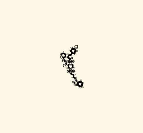 O=C(NOC1CCCCO1)[C@H]1CN(S(=O)(=O)CCCSn2cnc3ccccc32)CCN1S(=O)(=O)c1ccc(-c2ccc(Cl)cc2)s1